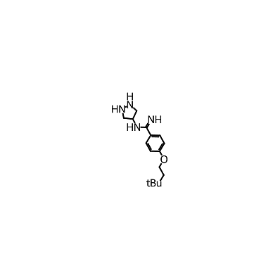 CC(C)(C)CCOc1ccc(C(=N)NC2CNNC2)cc1